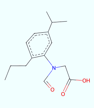 CCCc1ccc(C(C)C)cc1N(C=O)CC(=O)O